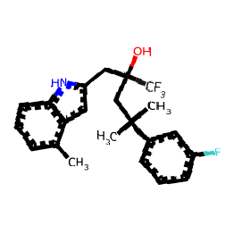 Cc1cccc2[nH]c(CC(O)(CC(C)(C)c3cccc(F)c3)C(F)(F)F)cc12